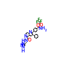 NC(OC(=O)C(F)(F)F)c1ccc(-c2nc3ccnc(C(=O)NCc4c[nH]nn4)c3cc2-c2ccccc2)cc1